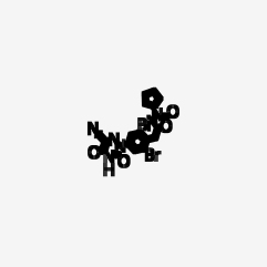 N#Cc1nn(-c2cc(Br)c(Cc3nn(C4CCCC4)c(=O)o3)c(Br)c2)c(=O)[nH]c1=O